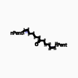 CCCCC/C=C\CCC[CH]C(=O)CCC/C=C\CCCCC